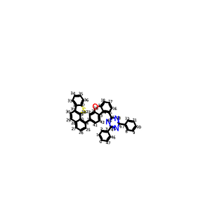 c1ccc(-c2nc(-c3ccccc3)nc(-c3cccc4oc5cc(-c6cccc7ccc8c9ccccc9sc8c67)ccc5c34)n2)cc1